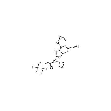 COc1cc(C#N)cc2c1nc1n2C2(CCC2)N1C(=O)CC1CC(F)(F)C1(F)F